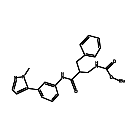 Cn1nccc1-c1cccc(NC(=O)C(CNC(=O)OC(C)(C)C)Cc2ccccc2)c1